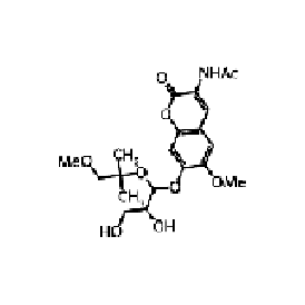 COCC(C)(C)OC(Oc1cc2oc(=O)c(NC(C)=O)cc2cc1OC)[C@@H](O)CO